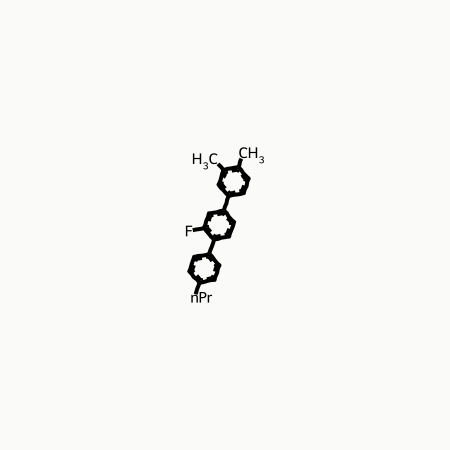 CCCc1ccc(-c2ccc(-c3ccc(C)c(C)c3)cc2F)cc1